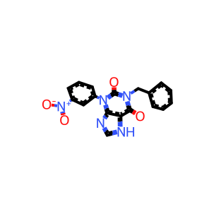 O=c1c2[nH]cnc2n(-c2cccc([N+](=O)[O-])c2)c(=O)n1Cc1ccccc1